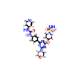 NS(=O)(=O)N1CCC(Oc2nc(-c3ccc(NC(=O)Nc4ccncc4)cc3)nc(N3CCOCC3)n2)CC1